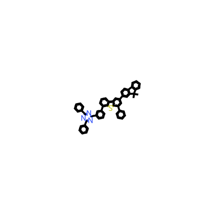 CC1(C)c2ccccc2-c2ccc(-c3cc(-c4ccccc4)c4sc5c(-c6cccc(-c7nc(-c8ccccc8)nc(-c8ccccc8)n7)c6)cccc5c4c3)cc21